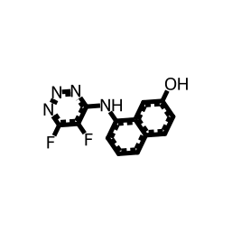 Oc1ccc2cccc(Nc3nnnc(F)c3F)c2c1